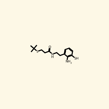 CC(C)(C)SCCC(=O)NCCc1cccc(S)c1N